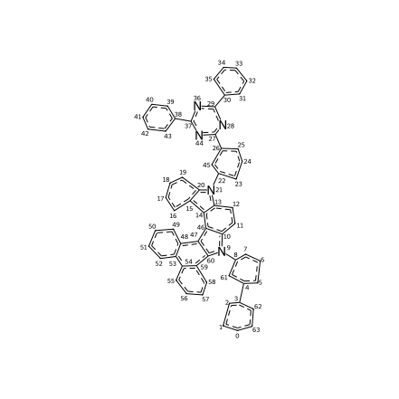 c1ccc(-c2cccc(-n3c4ccc5c(c6ccccc6n5-c5cccc(-c6nc(-c7ccccc7)nc(-c7ccccc7)n6)c5)c4c4c5ccccc5c5ccccc5c43)c2)cc1